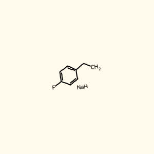 [CH2]Cc1ccc(F)cc1.[NaH]